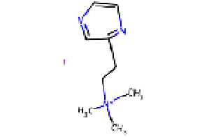 C[N+](C)(C)CCc1cnccn1.[I-]